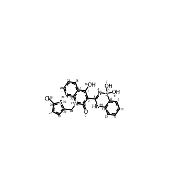 O=c1c(C2=NS(O)(O)c3ccccc3N2)c(O)c2cccnc2n1Cc1ccc(Cl)s1